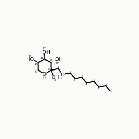 CCCCCCCCOC[C@]1(O)OC[C@@H](O)[C@@H](O)[C@@H]1O